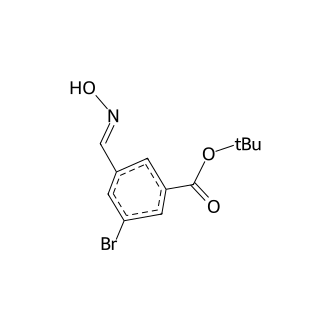 CC(C)(C)OC(=O)c1cc(Br)cc(C=NO)c1